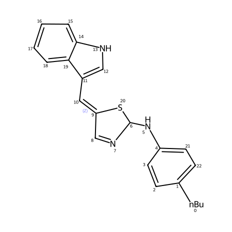 CCCCc1ccc(NC2N=C/C(=C/c3c[nH]c4ccccc34)S2)cc1